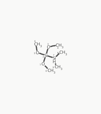 CO[Si](OC)(OC)[SiH](C)C